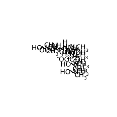 C[C@@H](O)[C@H](N)C(=O)[O-].C[C@@H](O)[C@H](N)C(=O)[O-].C[N+](C)(C)CCO.C[N+](C)(C)CCO.C[N+](C)(C)CCO.N=C(N)NCCC[C@H](N)C(=O)[O-]